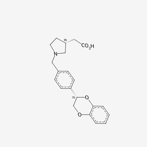 O=C(O)C[C@H]1CCN(Cc2ccc([C@H]3COc4ccccc4O3)cc2)C1